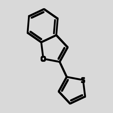 c1csc(-c2cc3ccccc3o2)c1